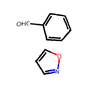 O=Cc1ccccc1.c1cnoc1